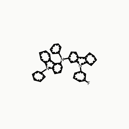 Fc1cccc(-n2c3ccccc3c3ccc(N(c4ccccc4)c4cccc5c4c4ccccc4n5-c4ccccc4)cc32)c1